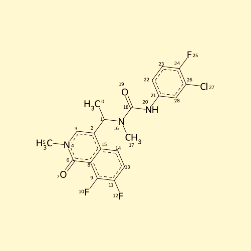 CC(c1cn(C)c(=O)c2c(F)c(F)ccc12)N(C)C(=O)Nc1ccc(F)c(Cl)c1